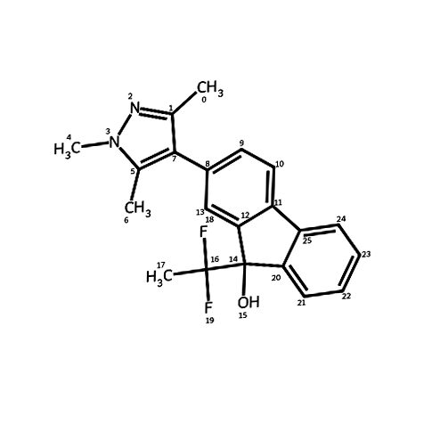 Cc1nn(C)c(C)c1-c1ccc2c(c1)C(O)(C(C)(F)F)c1ccccc1-2